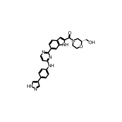 O=C(c1cc2ccc(-c3nccc(Nc4ccc(-c5cn[nH]c5)cc4)n3)cc2[nH]1)N1CCO[C@@H](CO)C1